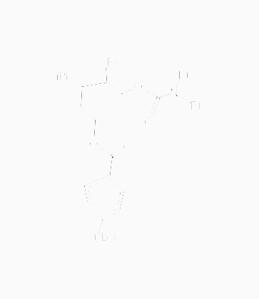 CCCCc1ccc(C(=O)OCCC(C(C)C)C(COC(=O)N(CC)CC)C(C)C)cc1